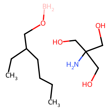 BOCC(CC)CCCC.NC(CO)(CO)CO